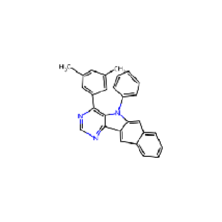 Cc1cc(C)cc(-c2ncnc3c4cc5ccccc5cc4n(-c4ccccc4)c23)c1